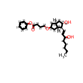 CCCCCC(O)C=C[C@H]1[C@@H]2CC(OCCCC(=O)Oc3ccccc3)C[C@H]2C[C@@H]1O